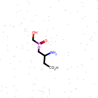 NC(CC(=O)O)C[PH](=O)CO